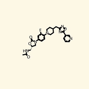 CC(=O)NC[C@H]1CN(c2ccc(N3CCC(Cc4noc(-c5cccnc5)n4)CC3)c(F)c2)C(=O)O1